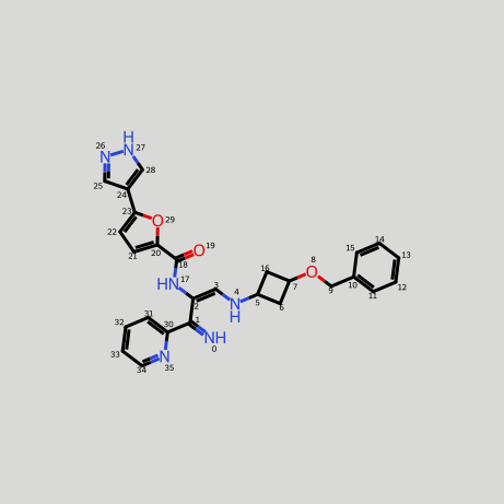 N=C(/C(=C\NC1CC(OCc2ccccc2)C1)NC(=O)c1ccc(-c2cn[nH]c2)o1)c1ccccn1